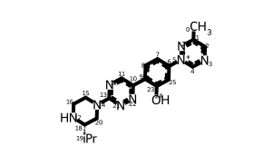 Cc1cnc[n+](-c2ccc(-c3cnc(N4CCN[C@@H](C(C)C)C4)nn3)c(O)c2)n1